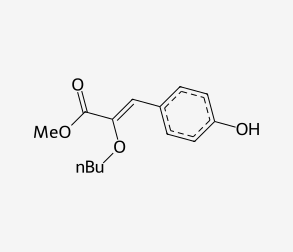 CCCCO/C(=C\c1ccc(O)cc1)C(=O)OC